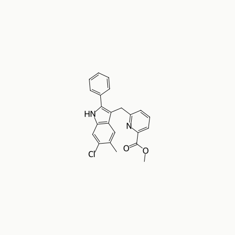 COC(=O)c1cccc(Cc2c(-c3ccccc3)[nH]c3cc(Cl)c(C)cc23)n1